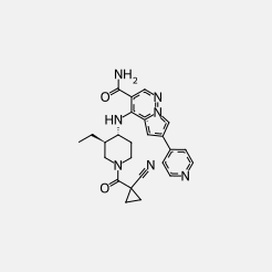 CC[C@@H]1CN(C(=O)C2(C#N)CC2)CC[C@H]1Nc1c(C(N)=O)cnn2cc(-c3ccncc3)cc12